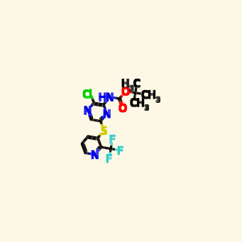 CC(C)(C)OC(=O)Nc1nc(Sc2cccnc2C(F)(F)F)cnc1Cl